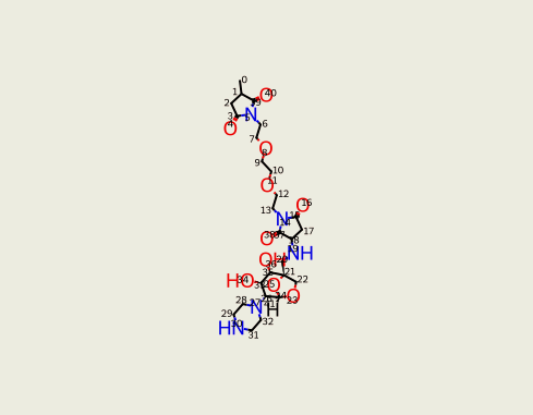 CC1CC(=O)N(CCOCCOCCN2C(=O)CC(NC[C@@]34CO[C@@H](O3)[C@H](N3CCNCC3)[C@@H](O)[C@H]4O)C2=O)C1=O